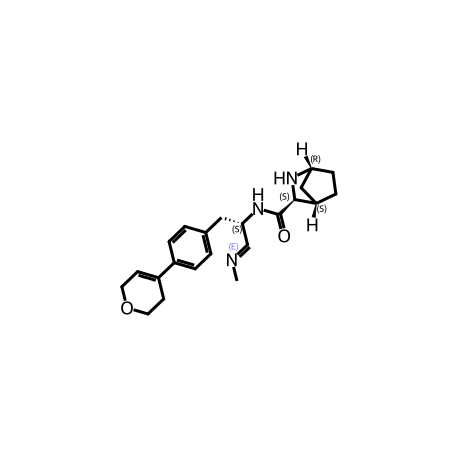 C/N=C/[C@H](Cc1ccc(C2=CCOCC2)cc1)NC(=O)[C@H]1N[C@@H]2CC[C@H]1C2